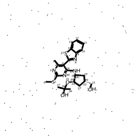 CSc1nc(C)c(-c2nc3ccccc3s2)c(N[C@@H]2C[C@H](CO)C[C@H]2OC(C)(C)O)n1